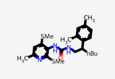 CCCCC(CNC(=O)Nc1c(SC)cc(C)nc1SC)c1ccc(C)cc1C